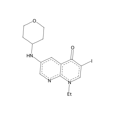 CCn1cc(I)c(=O)c2cc(NC3CCOCC3)cnc21